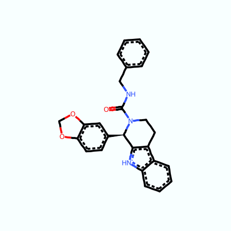 O=C(NCc1ccccc1)N1CCc2c([nH]c3ccccc23)[C@H]1c1ccc2c(c1)OCO2